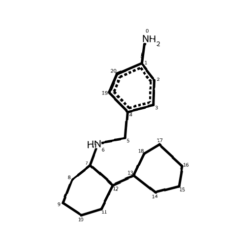 Nc1ccc(CNC2CCCCC2C2CCCCC2)cc1